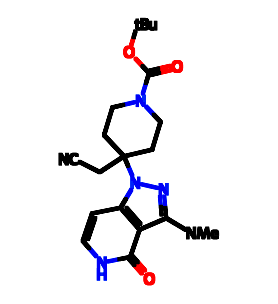 CNc1nn(C2(CC#N)CCN(C(=O)OC(C)(C)C)CC2)c2cc[nH]c(=O)c12